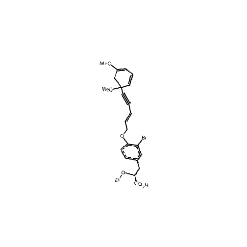 CCO[C@@H](Cc1ccc(OCC=CC#CC2(OC)C=CC=C(OC)C2)c(Br)c1)C(=O)O